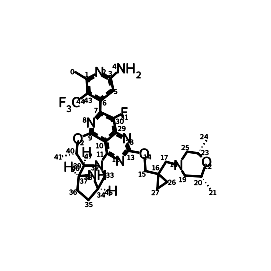 Cc1nc(N)cc(-c2nc3c4c(nc(OCC5(CN6C[C@@H](C)O[C@@H](C)C6)CC5)nc4c2F)N2C[C@H]4CC[C@H](N4)[C@H]2[C@H](C)O3)c1C(F)(F)F